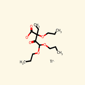 CCCOC(OCCC)C(=O)C(CC)(OCCC)C(=O)[O-].[Ti+]